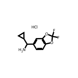 Cl.NC(c1ccc2c(c1)OC(F)(F)O2)C1CC1